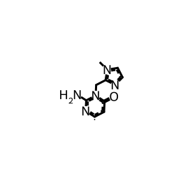 Cn1ccnc1Cn1c(N)n[c]cc1=O